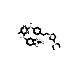 CCN(CC)C1CCN(CCc2ccc(Nc3ncc(C)c(Nc4ccc5oc(=O)[nH]c5c4)n3)cc2)C1